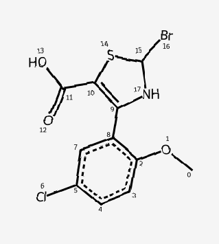 COc1ccc(Cl)cc1C1=C(C(=O)O)SC(Br)N1